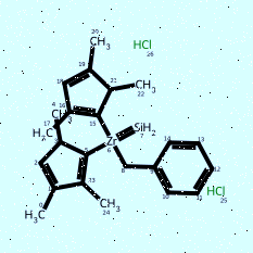 CC1=CC(C)[C]([Zr](=[SiH2])([CH2]c2ccccc2)[C]2=C(C)C=C(C)C2C)=C1C.Cl.Cl